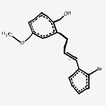 COc1ccc(O)c(C/C=C/c2ccccc2Br)c1